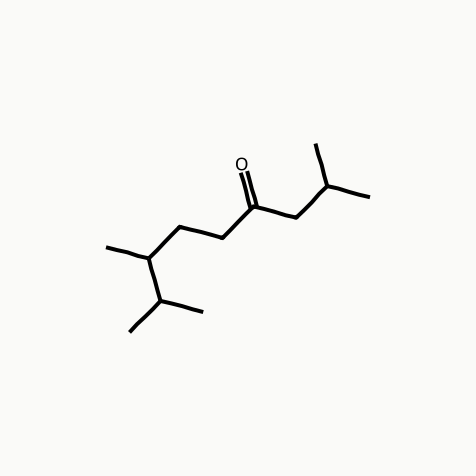 CC(C)CC(=O)CCC(C)C(C)C